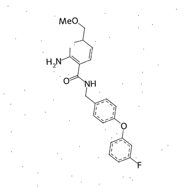 COCC(C)/C=C\C(C(=O)NCc1ccc(Oc2cccc(F)c2)cc1)=C(/C)N